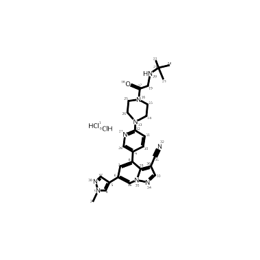 Cl.Cl.Cn1cc(-c2cc(-c3ccc(N4CCN(C(=O)CNC(C)(C)C)CC4)nc3)c3c(C#N)cnn3c2)cn1